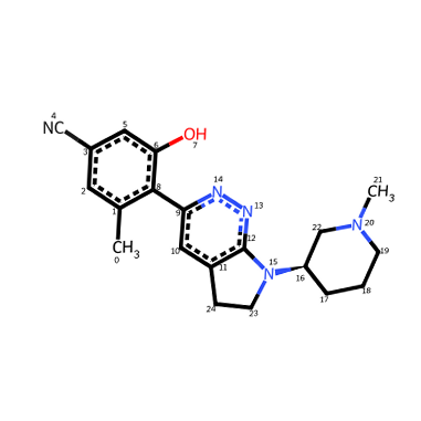 Cc1cc(C#N)cc(O)c1-c1cc2c(nn1)N([C@@H]1CCCN(C)C1)CC2